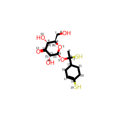 CC(S)(O[C@@H]1O[C@H](CO)[C@@H](O)C(=O)[C@H]1O)C1CC=C(S)CC1